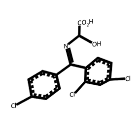 O=C(O)C(O)N=C(c1ccc(Cl)cc1)c1ccc(Cl)cc1Cl